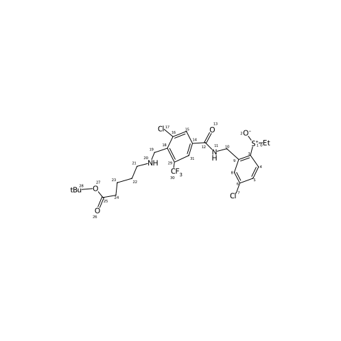 CC[S+]([O-])c1ccc(Cl)cc1CNC(=O)c1cc(Cl)c(CNCCCCC(=O)OC(C)(C)C)c(C(F)(F)F)c1